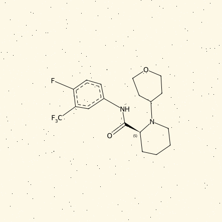 O=C(Nc1ccc(F)c(C(F)(F)F)c1)[C@@H]1CCCCN1C1CCOCC1